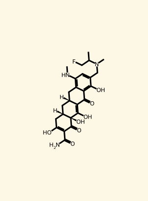 CNc1cc(CN(C)C(C)CF)c(O)c2c1C[C@H]1C[C@H]3CC(O)=C(C(N)=O)C(=O)[C@@]3(O)C(O)=C1C2=O